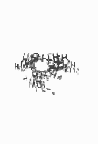 CC[C@H]1OC(=O)[C@H](C)[C@@H](O[C@H]2C[C@@](C)(OC)C(=O)[C@H](C)O2)[C@H](C)[C@@H](O[C@H]2C[C@@H](N(C)C)C[C@@H](C)O2)[C@](C)(O)C[C@@H](C)CN[C@H](C)[C@@H](O)[C@]1(C)O